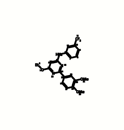 CCOc1nc(Nc2cccc(C(F)(F)F)c2)nc(-c2ccc(OC)c(OC)c2)n1